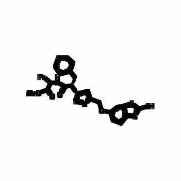 COC(=O)C(NC(=O)[C@H](Cc1ccccc1)n1cc(COc2ccc3nc(S)sc3c2)nn1)C(C)C